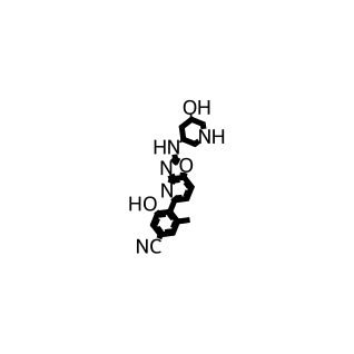 Cc1cc(C#N)cc(O)c1-c1ccc2oc(N[C@H]3CNC[C@@H](O)C3)nc2n1